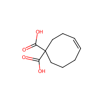 O=C(O)C1(C(=O)O)CCC=CCCC1